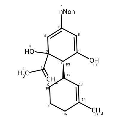 C=C(C)C1(O)C=C(CCCCCCCCC)C=C(O)[C@H]1C1C=C(C)CCC1